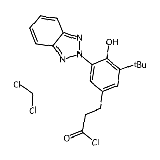 CC(C)(C)c1cc(CCC(=O)Cl)cc(-n2nc3ccccc3n2)c1O.ClCCl